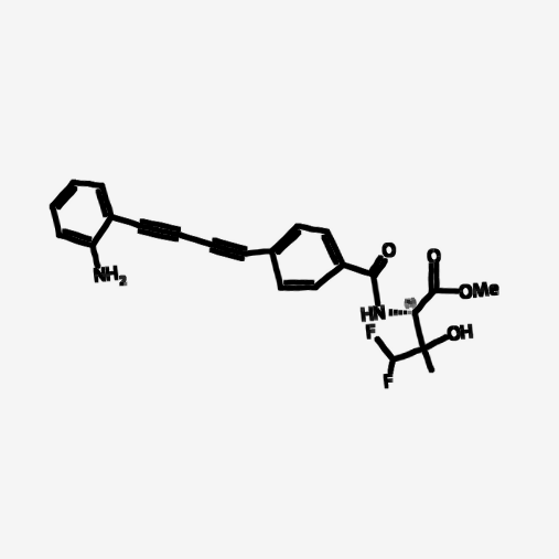 COC(=O)[C@@H](NC(=O)c1ccc(C#CC#Cc2ccccc2N)cc1)C(C)(O)C(F)F